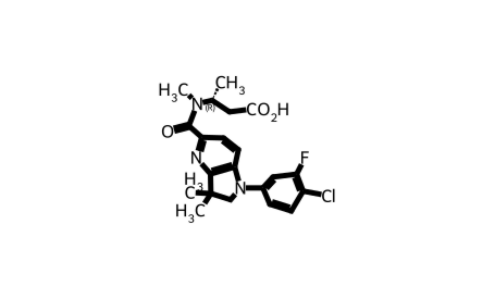 C[C@H](CC(=O)O)N(C)C(=O)c1ccc2c(n1)C(C)(C)CN2c1ccc(Cl)c(F)c1